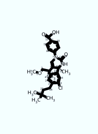 COCC(C)C1=CN(c2ccc(C(=O)O)cc2)C(=O)N[C@@]1(C)c1ccc(CCC(C)(C)C)c(Cl)c1